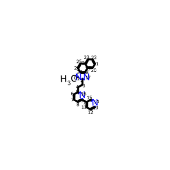 Cn1c(CCc2cccc(-c3cccnc3)n2)nc2c3ccccc3ccc21